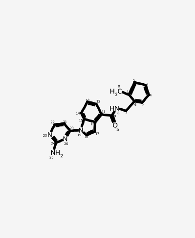 Cc1ccccc1CNC(=O)c1cccc2c1ccn2-c1ccnc(N)n1